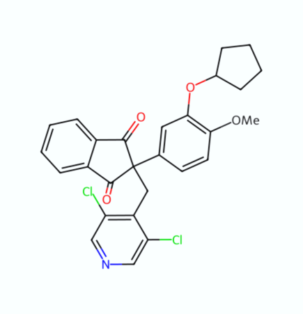 COc1ccc(C2(Cc3c(Cl)cncc3Cl)C(=O)c3ccccc3C2=O)cc1OC1CCCC1